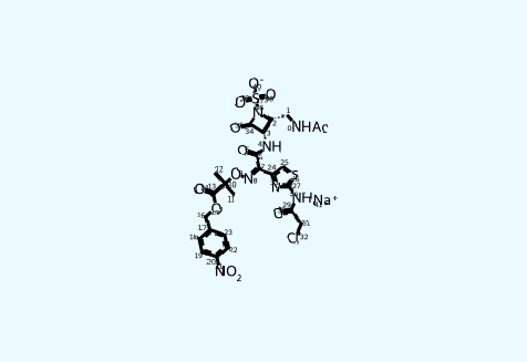 CC(=O)NC[C@@H]1[C@H](NC(=O)C(=NOC(C)(C)C(=O)OCc2ccc([N+](=O)[O-])cc2)c2csc(NC(=O)CCl)n2)C(=O)N1S(=O)(=O)[O-].[Na+]